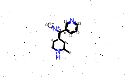 [C-]#[N+]/C(=C1\CCNC(C)C1)c1cccnc1